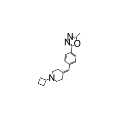 Cc1nnc(-c2ccc(C=C3CCN(C4CCC4)CC3)cc2)o1